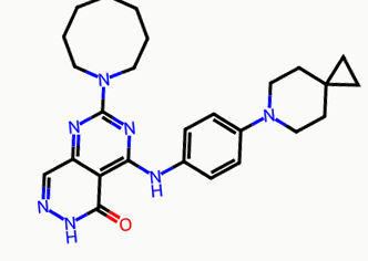 O=c1[nH]ncc2nc(N3CCCCCCC3)nc(Nc3ccc(N4CCC5(CC4)CC5)cc3)c12